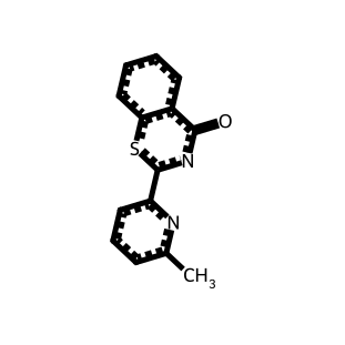 Cc1cccc(-c2nc(=O)c3ccccc3s2)n1